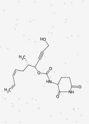 C=C/C=C\C[C@H](C)C(C#CCO)OC(=O)NC1CCC(=O)NC1=O